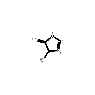 CC(C)C1N=COC1=O